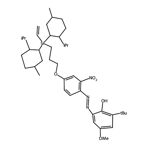 C=C[Si](CCCOc1ccc(N=Nc2cc(OC)cc(C(C)(C)C)c2O)c([N+](=O)[O-])c1)(C1CC(C)CCC1C(C)C)C1CC(C)CCC1C(C)C